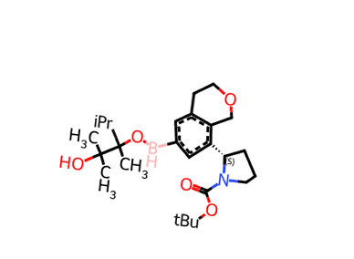 CC(C)C(C)(OBc1cc2c(c([C@@H]3CCCN3C(=O)OC(C)(C)C)c1)COCC2)C(C)(C)O